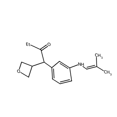 CCC(=O)C(c1cccc(NC=C(C)C)c1)C1COC1